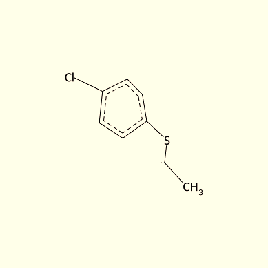 C[CH]Sc1ccc(Cl)cc1